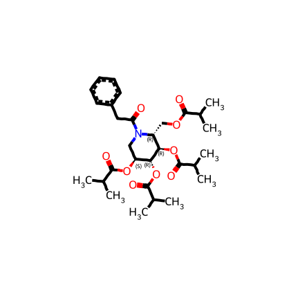 CC(C)C(=O)OC[C@@H]1[C@@H](OC(=O)C(C)C)[C@H](OC(=O)C(C)C)[C@@H](OC(=O)C(C)C)CN1C(=O)Cc1ccccc1